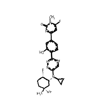 CCC[C@]1(C)CC[C@H](F)[C@H](N(c2cnc(-c3ccc(-c4cc(F)n(C)c(=O)n4)cc3O)nn2)C2CC2)C1